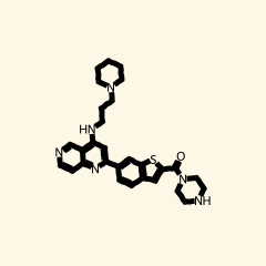 O=C(c1cc2ccc(-c3cc(NCCCN4CCCCC4)c4cnccc4n3)cc2s1)N1CCNCC1